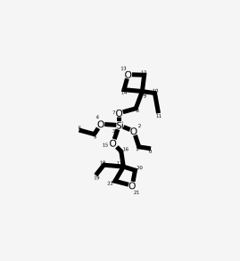 CCO[Si](OCC)(OCC1(CC)COC1)OCC1(CC)COC1